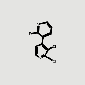 Fc1ncccc1-c1ccnc(Cl)c1Cl